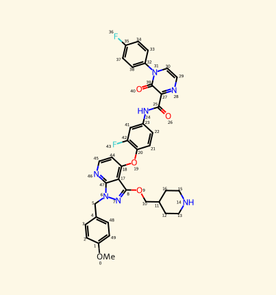 COc1ccc(Cn2nc(OCC3CCNCC3)c3c(Oc4ccc(NC(=O)c5nccn(-c6ccc(F)cc6)c5=O)cc4F)ccnc32)cc1